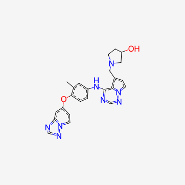 Cc1cc(Nc2ncnn3ccc(CN4CCC(O)C4)c23)ccc1Oc1ccn2ncnc2c1